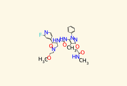 CNC(=O)COc1nn(-c2ccccc2)c(NC(=O)N[C@@H]2CN(CCOC)O[C@H]2c2ccnc(F)c2)c1C